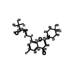 Cc1cc(C/C=N/[S+]([O-])C(C)(C)C)c2oc(N3CCC(C)(C)CC3)cc(=O)c2c1